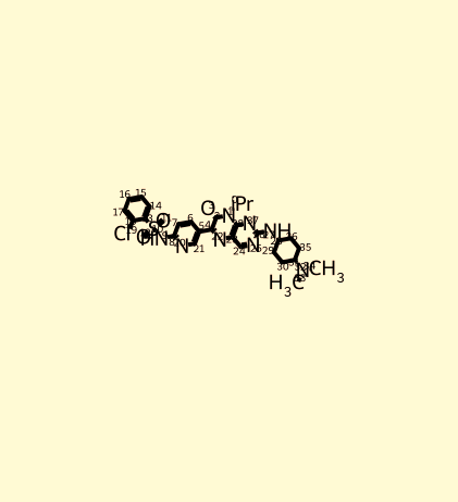 CC(C)n1c(=O)c(-c2ccc(NS(=O)(=O)c3ccccc3Cl)nc2)nc2cnc(N[C@H]3CC[C@H](N(C)C)CC3)nc21